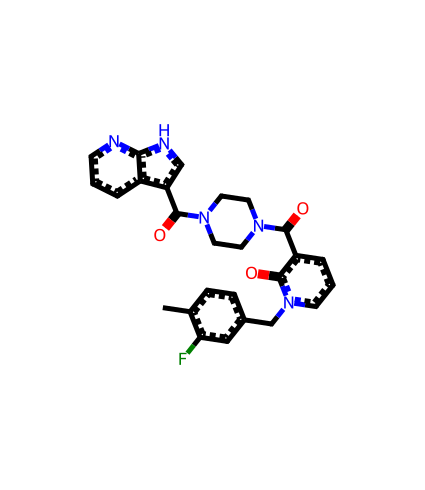 Cc1ccc(Cn2cccc(C(=O)N3CCN(C(=O)c4c[nH]c5ncccc45)CC3)c2=O)cc1F